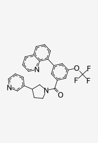 O=C(c1cc(OC(F)(F)F)cc(-c2cccc3cccnc23)c1)N1CCC(c2cccnc2)C1